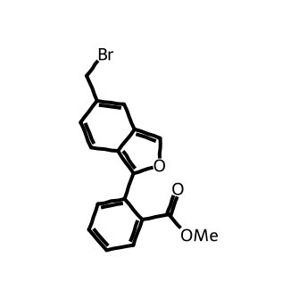 COC(=O)c1ccccc1-c1occ2cc(CBr)ccc12